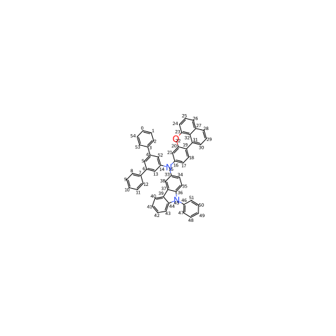 c1ccc(-c2cc(-c3ccccc3)cc(N(c3ccc4c(c3)Oc3cccc5cccc-4c35)c3ccc4c(c3)c3ccccc3n4-c3ccccc3)c2)cc1